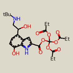 CCC(=O)OC(OC(=O)CC)(OC(=O)CC)OC(=O)c1cc2c(C(O)CNC(C)(C)C)ccc(O)c2[nH]1